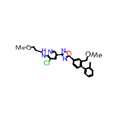 COCCCNc1ncc(-c2noc(-c3ccc(-c4ccccc4C)c(COC)c3)n2)cc1Cl